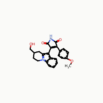 COc1ccc(C2=C(c3c4n(c5ccccc35)CCC(CO)C4)C(=O)NC2=O)cc1